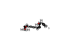 O=C(NCCOCCOCCNC(=O)c1cccc(-c2cc(Nc3ccc(OC(F)(F)F)cc3)ncn2)c1)c1cccc(B(O)O)c1